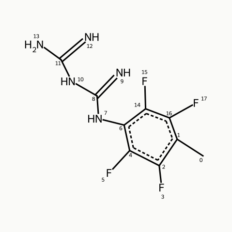 Cc1c(F)c(F)c(NC(=N)NC(=N)N)c(F)c1F